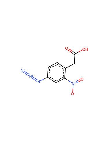 [N-]=[N+]=Nc1ccc(CC(=O)O)c([N+](=O)[O-])c1